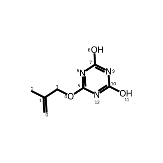 C=C(C)COc1nc(O)nc(O)n1